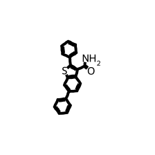 NC(=O)c1c(-c2ccccc2)sc2cc(-c3ccccc3)ccc12